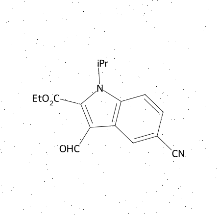 CCOC(=O)c1c(C=O)c2cc(C#N)ccc2n1C(C)C